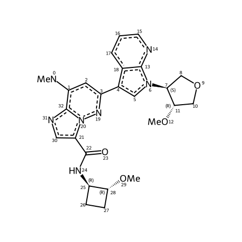 CNc1cc(-c2cn([C@H]3COC[C@@H]3OC)c3ncccc23)nn2c(C(=O)N[C@@H]3CC[C@H]3OC)cnc12